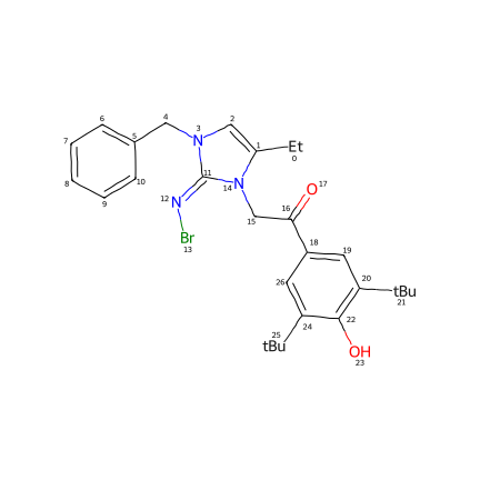 CCc1cn(Cc2ccccc2)/c(=N/Br)n1CC(=O)c1cc(C(C)(C)C)c(O)c(C(C)(C)C)c1